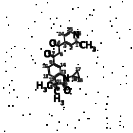 Cc1cc(C(=O)CC(=O)c2ccc3c(c2)N(C2CC2)C(=O)C3(C)C)ccn1